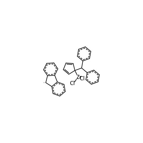 [CH]1c2ccccc2-c2ccccc21.[Cl][Zr]([Cl])[C]1(C(c2ccccc2)c2ccccc2)C=CC=C1